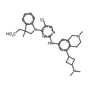 CN1CCc2c(cc(Nc3ncc(Cl)c(N4CC(C)(CC(=O)O)c5ccccc54)n3)cc2C2CC(N(C)C)C2)C1